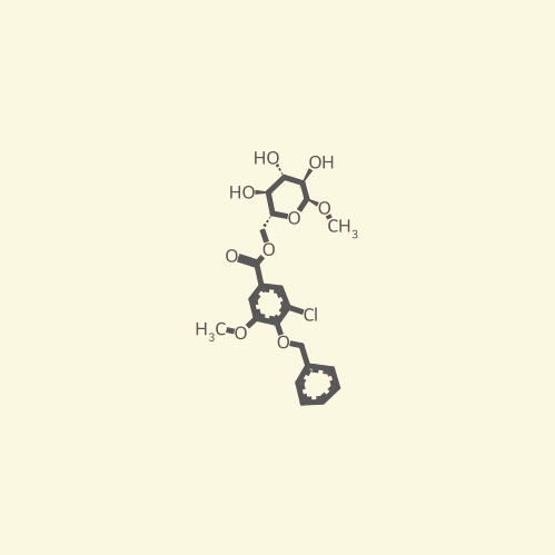 COc1cc(C(=O)OC[C@H]2O[C@H](OC)[C@H](O)[C@@H](O)[C@@H]2O)cc(Cl)c1OCc1ccccc1